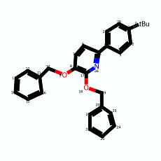 CC(C)(C)c1ccc(-c2ccc(OCc3ccccc3)c(OCc3ccccc3)n2)cc1